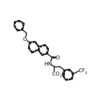 O=C(NC(Cc1cccc(C(F)(F)F)c1)C(=O)O)c1ccc2cc(OCc3ccccc3)ccc2c1